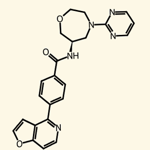 O=C(N[C@H]1COCCN(c2ncccn2)C1)c1ccc(-c2nccc3occc23)cc1